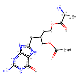 CCCCCCCC(=O)OCC(CCOC(=O)[C@@H](N)[C@@H](C)CC)Cc1nc2nc(N)[nH]c(=O)c2[nH]1